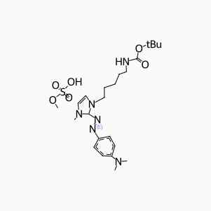 CN(C)c1ccc(/N=N/C2N(C)C=CN2CCCCCNC(=O)OC(C)(C)C)cc1.COS(=O)(=O)O